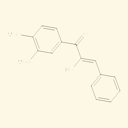 COc1ccc(C(=O)C(O)=Cc2ccccc2)cc1OC